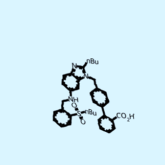 CCCCc1nc2ccc(NCc3ccccc3S(=O)(=O)CCCC)cc2n1Cc1ccc(-c2ccccc2C(=O)O)cc1